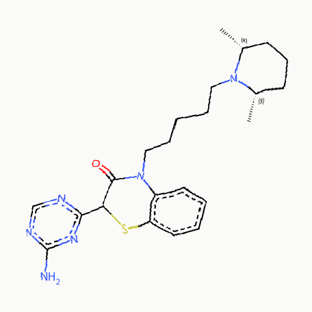 C[C@@H]1CCC[C@H](C)N1CCCCCN1C(=O)C(c2ncnc(N)n2)Sc2ccccc21